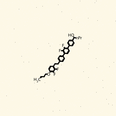 C=CCCOc1ccc(CCc2ccc(-c3ccc(-c4ccc(C(O)CCC)cc4)c(F)c3F)cc2)c(F)c1F